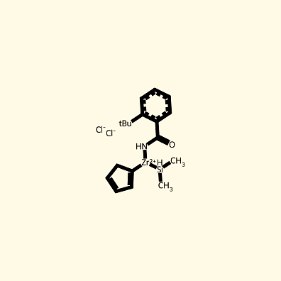 C[SiH](C)[Zr+2]([NH]C(=O)c1ccccc1C(C)(C)C)[C]1=CC=CC1.[Cl-].[Cl-]